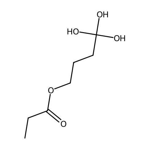 CCC(=O)OCCCC(O)(O)O